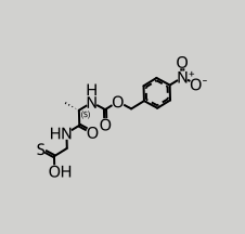 C[C@H](NC(=O)OCc1ccc([N+](=O)[O-])cc1)C(=O)NCC(O)=S